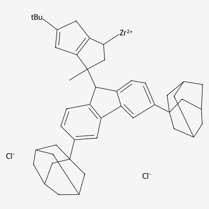 CC(C)(C)C1=CC2=C(C1)[CH]([Zr+2])CC2(C)C1c2ccc(C34CC5CC(CC(C5)C3)C4)cc2-c2cc(C34CC5CC(CC(C5)C3)C4)ccc21.[Cl-].[Cl-]